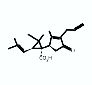 C=CCC1=C(C)[C@H]([C@@]2(C(=O)O)[C@@H](C=C(C)C)C2(C)C)CC1=O